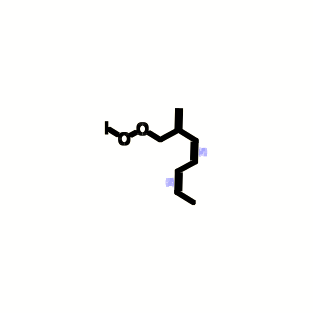 C=C(/C=C\C=C/C)COOI